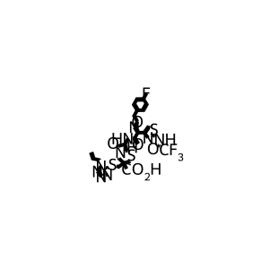 C=CCn1nnnc1SCC1(C(=O)O)CS[C@@H]2C(NC(=O)C(=NOCc3ccc(F)cc3)c3csc(NC(=O)C(F)(F)F)n3)C(=O)N2C1